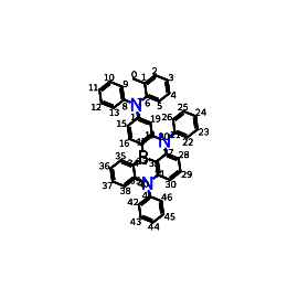 Cc1ccccc1N(c1ccccc1)c1ccc2c(c1)N(c1ccccc1)c1cccc3c1B2c1ccccc1N3c1ccccc1